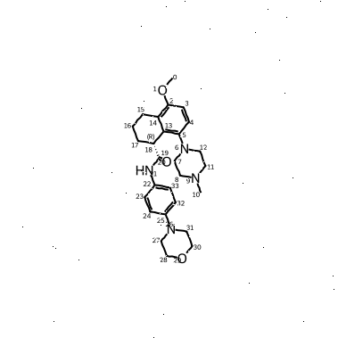 COc1ccc(N2CCN(C)CC2)c2c1CCC[C@H]2C(=O)Nc1ccc(N2CCOCC2)cc1